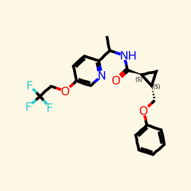 CC(NC(=O)[C@H]1C[C@@H]1COc1ccccc1)c1ccc(OCC(F)(F)F)cn1